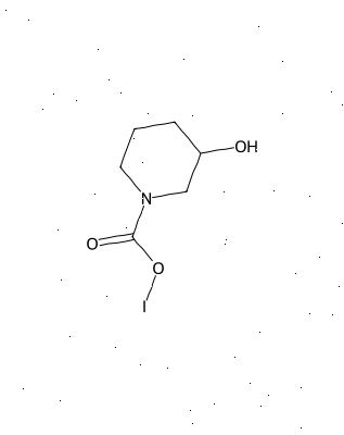 O=C(OI)N1CCCC(O)C1